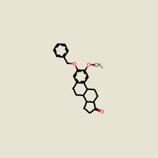 COc1cc2c(cc1OCc1ccccc1)CCC1C2CCC2C(=O)CCC21